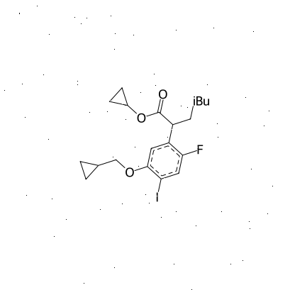 CCC(C)CC(C(=O)OC1CC1)c1cc(OCC2CC2)c(I)cc1F